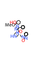 COC[C@]1(O)CCCC[C@H]1n1cnc(C(=O)N2CCNC[C@H]2CCn2c(=O)n(C)c3ccccc32)c1-c1ccccc1